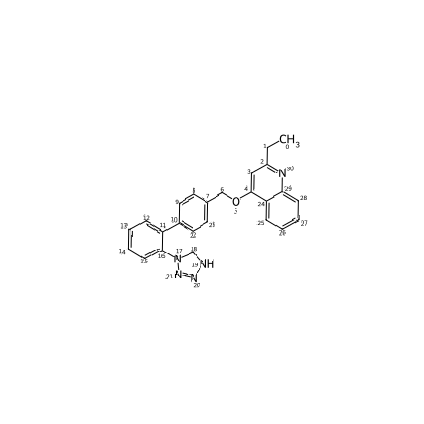 CCc1cc(OCc2ccc(-c3ccccc3N3CNN=N3)cc2)c2ccccc2n1